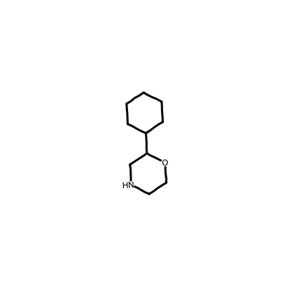 C1CC[C](C2CNCCO2)CC1